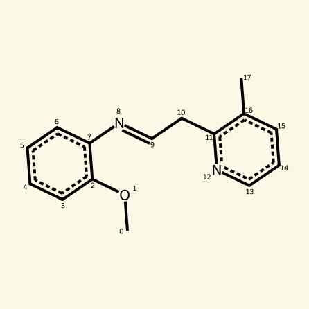 COc1ccccc1N=CCc1ncccc1C